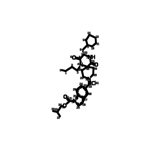 CCCCN1C(=O)[C@H](CC2CCCCC2)NC(=O)C12CCN(Cc1ccc3c(ccn3C(=O)OCC(C)C)c1)CC2.Cl